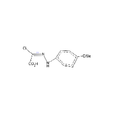 COc1ccc(N/N=C(/Cl)C(=O)O)cc1